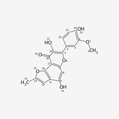 COc1cc(-c2oc3cc(O)c4cc(C)oc4c3c(=O)c2O)ccc1O